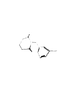 O=C1CCCC(=O)N1Cc1cccc(I)c1